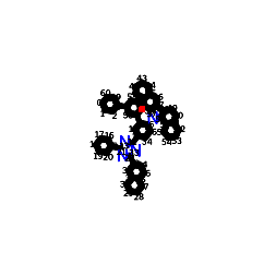 c1ccc(-c2cccc(-c3cc(-c4nc(-c5ccccc5)nc(-c5ccc6ccccc6c5)n4)ccc3-n3c4cc5ccccc5cc4c4ccc5ccccc5c43)c2)cc1